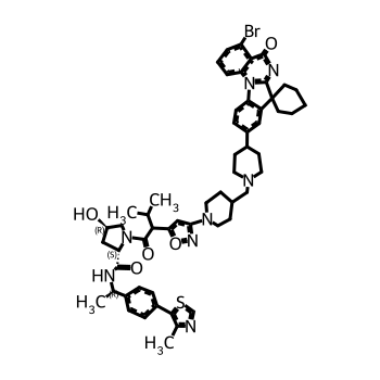 Cc1ncsc1-c1ccc([C@@H](C)NC(=O)[C@@H]2C[C@@H](O)CN2C(=O)C(c2cc(N3CCC(CN4CCC(c5ccc6c(c5)C5(CCCCC5)c5nc(=O)c7c(Br)cccc7n5-6)CC4)CC3)no2)C(C)C)cc1